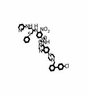 O=[N+]([O-])c1cc(S(=O)(=O)Nc2ncnc3cc(N4CCN(Cc5ccccc5-c5ccc(Cl)cc5)CC4)ccc23)ccc1N[C@H](CCNc1cccnc1)CSc1ccccc1